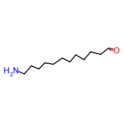 NCCCCCCCCCCCC=O